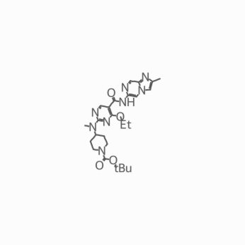 CCOc1nc(N(C)C2CCN(C(=O)OC(C)(C)C)CC2)ncc1C(=O)Nc1cn2cc(C)nc2cn1